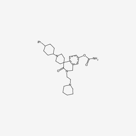 CC(C)C1CCC(N2CCC3(CC2)C(=O)N(CCN2CCCCC2)Cc2cc(OC(N)=O)ccc23)CC1